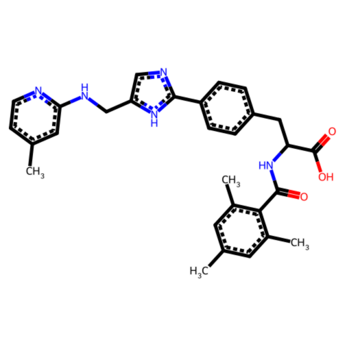 Cc1ccnc(NCc2cnc(-c3ccc(CC(NC(=O)c4c(C)cc(C)cc4C)C(=O)O)cc3)[nH]2)c1